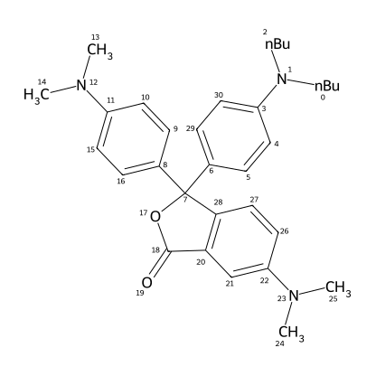 CCCCN(CCCC)c1ccc(C2(c3ccc(N(C)C)cc3)OC(=O)c3cc(N(C)C)ccc32)cc1